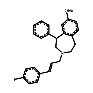 COc1ccc2c(c1)C(c1ccccc1)CN(CC=Cc1ccc(I)cc1)CC2